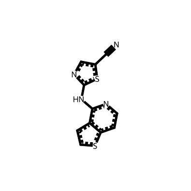 N#Cc1cnc(Nc2nccc3sccc23)s1